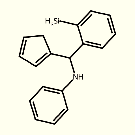 [SiH3]c1ccccc1C(Nc1ccccc1)C1=CC=CC1